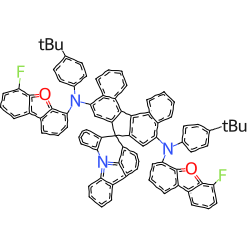 CC(C)(C)c1ccc(N(c2cc3c(c4ccccc24)-c2c(cc(N(c4ccc(C(C)(C)C)cc4)c4cccc5c4oc4c(F)cccc45)c4ccccc24)C32c3ccccc3-n3c4ccccc4c4cccc2c43)c2cccc3c2oc2c(F)cccc23)cc1